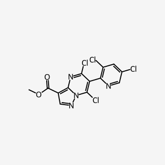 COC(=O)c1cnn2c(Cl)c(-c3ncc(Cl)cc3Cl)c(Cl)nc12